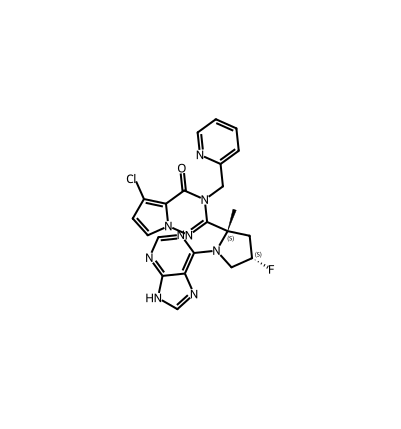 C[C@@]1(c2nn3ccc(Cl)c3c(=O)n2Cc2ccccn2)C[C@H](F)CN1c1ncnc2[nH]cnc12